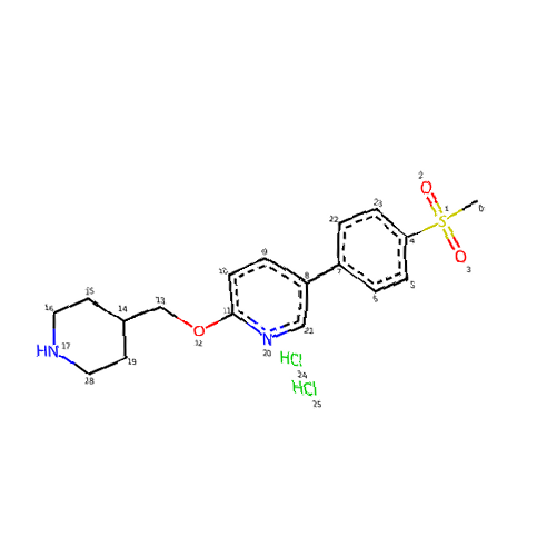 CS(=O)(=O)c1ccc(-c2ccc(OCC3CCNCC3)nc2)cc1.Cl.Cl